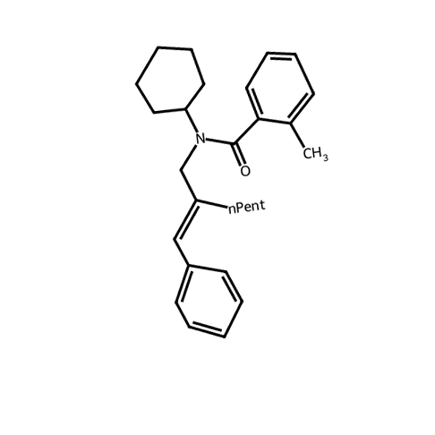 CCCCC/C(=C\c1ccccc1)CN(C(=O)c1ccccc1C)C1CCCCC1